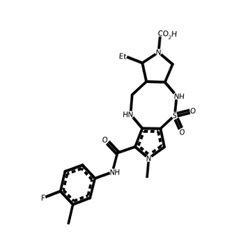 CCC1C2CNc3c(cn(C)c3C(=O)Nc3ccc(F)c(C)c3)S(=O)(=O)NC2CN1C(=O)O